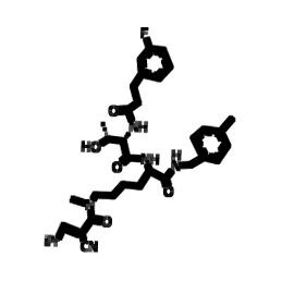 Cc1ccc(CNC(=O)C(CCCCN(C)C(=O)C(C#N)=CC(C)C)NC(=O)[C@@H](NC(=O)CCc2cccc(F)c2)[C@@H](C)O)cc1